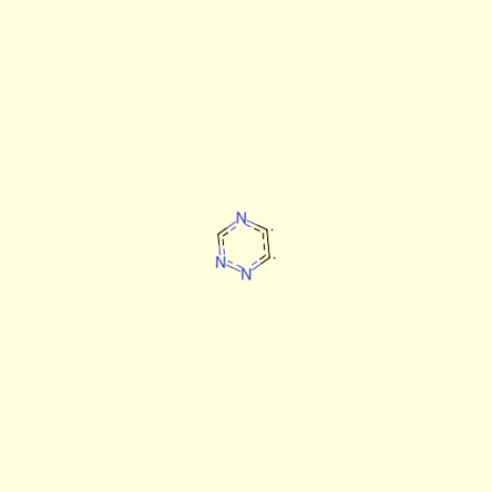 [c]1[c]nncn1